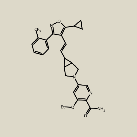 CCOc1cc(N2CC3C(C=Cc4c(-c5ccccc5C(F)(F)F)noc4C4CC4)C3C2)cnc1C(N)=O